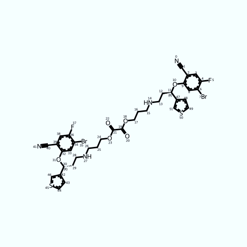 N#Cc1cc(F)c(Br)cc1O[C@H](CCNCCCOC(=O)C(=O)OCCCNCC[C@@H](Oc1cc(Br)c(F)cc1C#N)c1ccsc1)c1ccsc1